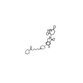 O=C1CCC(N2Cc3cc(C4CCN(CCCCCNC5CCCCC5)CC4)c(F)cc3C2=O)C(=O)N1